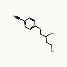 N#Cc1ccc(OCC(O)CCCl)cc1